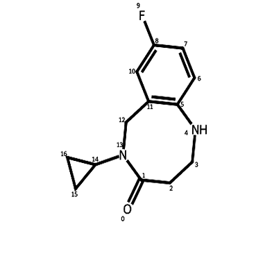 O=C1CCNc2ccc(F)cc2CN1C1CC1